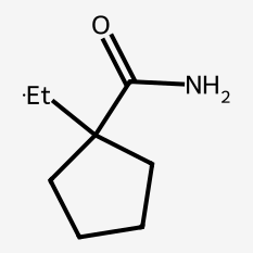 C[CH]C1(C(N)=O)CCCC1